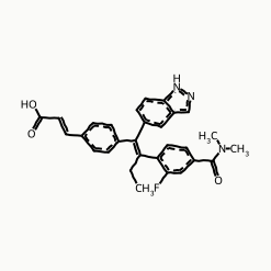 CCC(=C(c1ccc(C=CC(=O)O)cc1)c1ccc2[nH]ncc2c1)c1ccc(C(=O)N(C)C)cc1F